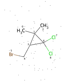 CC1(C)C(CBr)C1(Cl)Cl